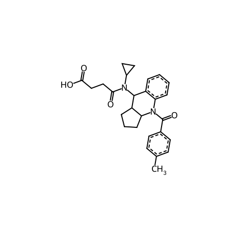 Cc1ccc(C(=O)N2c3ccccc3C(N(C(=O)CCC(=O)O)C3CC3)C3CCCC32)cc1